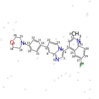 Cc1cc(-c2cnc3cc(-c4ccc(N5CCOCC5)cc4)ccn23)c2cc(F)ccc2n1